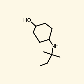 CCC(C)(C)NC1CCC(O)CC1